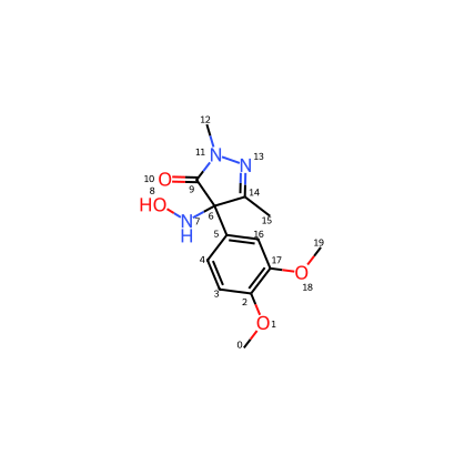 COc1ccc(C2(NO)C(=O)N(C)N=C2C)cc1OC